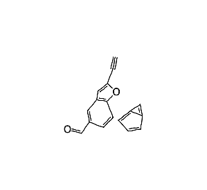 C#Cc1cc2cc(C=O)ccc2o1.c1cc2cc-2c1